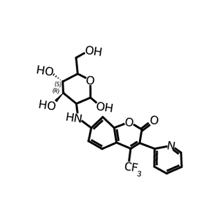 O=c1oc2cc(NC3C(O)OC(CO)[C@@H](O)[C@@H]3O)ccc2c(C(F)(F)F)c1-c1ccccn1